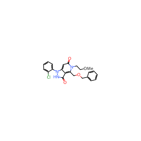 COCCn1c(COCc2ccccc2)c2c(=O)[nH]n(-c3ccccc3Cl)c2cc1=O